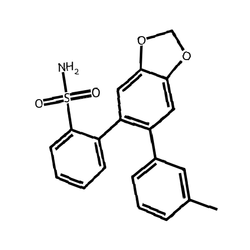 Cc1cccc(-c2cc3c(cc2-c2ccccc2S(N)(=O)=O)OCO3)c1